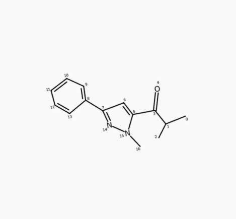 CC(C)C(=O)c1cc(-c2ccccc2)nn1C